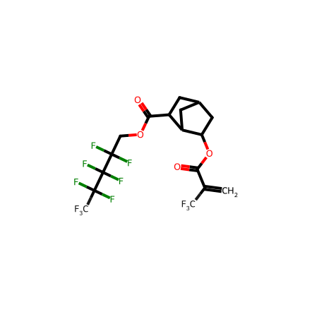 C=C(C(=O)OC1CC2CC(C(=O)OCC(F)(F)C(F)(F)C(F)(F)C(F)(F)F)C1C2)C(F)(F)F